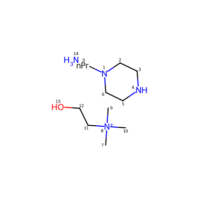 CCCN1CCNCC1.C[N+](C)(C)CCO.N